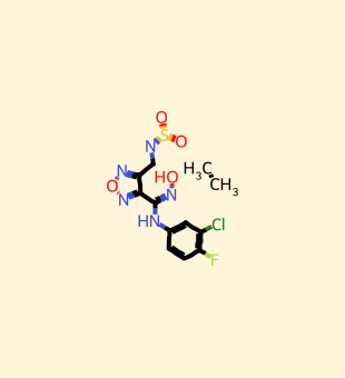 CC.O=S(=O)=NCc1nonc1C(=NO)Nc1ccc(F)c(Cl)c1